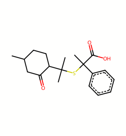 CC1CCC(C(C)(C)SC(C)(C(=O)O)c2ccccc2)C(=O)C1